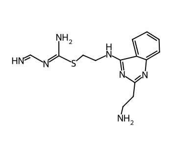 N=C/N=C(\N)SCCNc1nc(CCN)nc2ccccc12